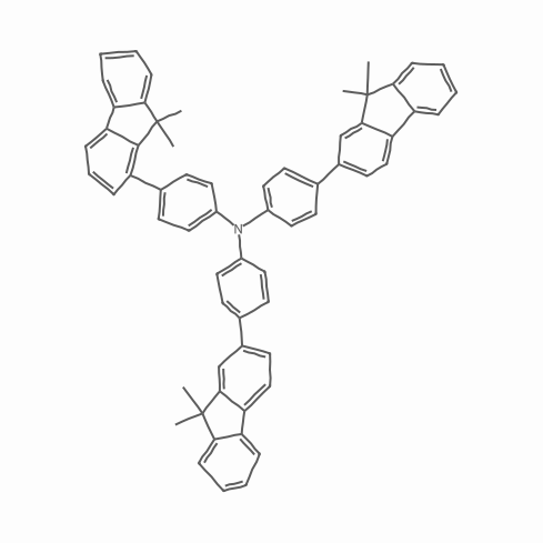 CC1(C)c2ccccc2-c2ccc(-c3ccc(N(c4ccc(-c5ccc6c(c5)C(C)(C)c5ccccc5-6)cc4)c4ccc(-c5cccc6c5C(C)(C)c5ccccc5-6)cc4)cc3)cc21